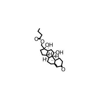 CCCC(=O)OC[C@@]1(O)CC[C@H]2[C@@H]3CCC4=CC(=O)CC[C@]4(C)[C@H]3[C@@H](O)C[C@@]21C